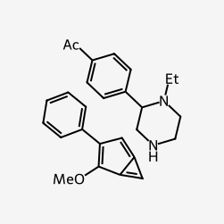 CCN1CCNCC1c1ccc(C(C)=O)cc1.COc1c(-c2ccccc2)cc2cc1-2